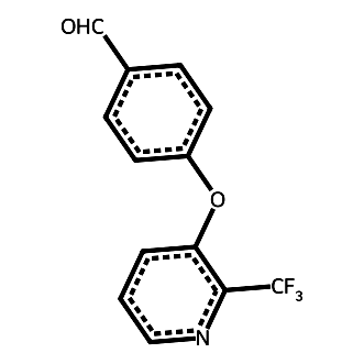 O=Cc1ccc(Oc2cccnc2C(F)(F)F)cc1